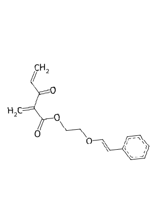 C=CC(=O)C(=C)C(=O)OCCOC=Cc1ccccc1